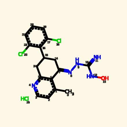 Cc1ccnc2c1C(=NNC(=N)NO)CC(c1c(Cl)cccc1Cl)C2.Cl